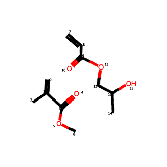 C=C(C)C(=O)OC.C=CC(=O)OCC(C)O